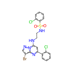 O=S(=O)(NCCNc1cc(-c2ccccc2Cl)nc2c(Br)cnn12)c1ccccc1Cl